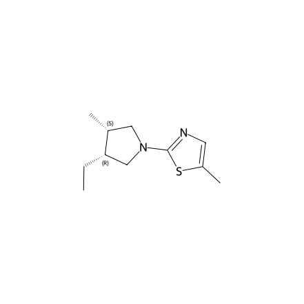 CC[C@H]1CN(c2ncc(C)s2)C[C@H]1C